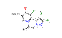 CCOC(=O)c1cn2c(c(F)c1=O)-c1c(Cl)c(Br)nn1C[C@H]2C(C)C